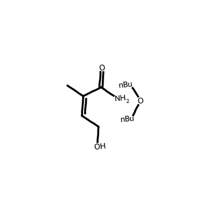 CC(=CCO)C(N)=O.CCCCOCCCC